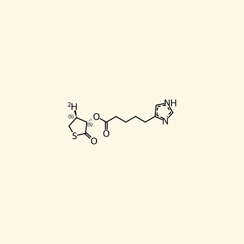 [2H][C@@H]1CSC(=O)[C@H]1OC(=O)CCCCc1c[nH]cn1